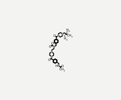 CC(=O)NCc1ccc(C(=O)N2CCN(CCN(Cc3ccc(C(=O)N4CCN(CC(C)(C)C)CC4)cc3)C(C)=O)CC2)cc1